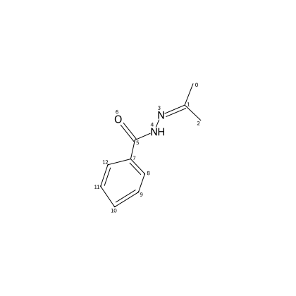 CC(C)=NNC(=O)c1ccccc1